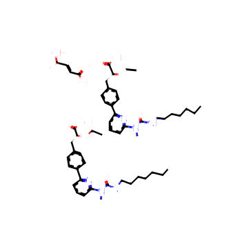 CCCCCCCNC(=O)N(C)c1cccc(-c2ccc(C[C@H](OCC)C(=O)O)cc2)n1.CCCCCCCNC(=O)N(C)c1cccc(-c2ccc(C[C@H](OCC)C(=O)O)cc2)n1.O=C(O)/C=C/C(=O)O